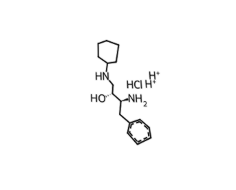 Cl.N[C@@H](Cc1ccccc1)[C@H](O)CNC1CCCCC1.[H+].[H+]